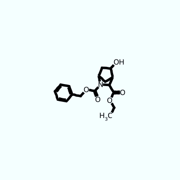 CCOC(=O)C1C2CC(CC2O)N1C(=O)OCc1ccccc1